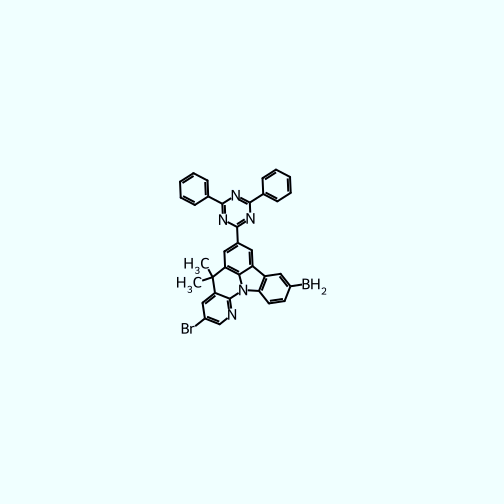 Bc1ccc2c(c1)c1cc(-c3nc(-c4ccccc4)nc(-c4ccccc4)n3)cc3c1n2-c1ncc(Br)cc1C3(C)C